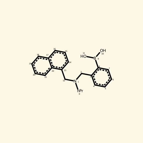 CCCN(Cc1ccccc1B(O)O)Cc1cccc2ccccc12